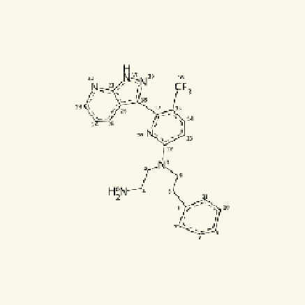 NCCN(CCc1ccccc1)c1ccc(C(F)(F)F)c(-c2n[nH]c3ncccc23)n1